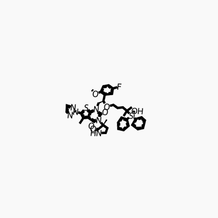 COc1ccc(F)cc1[C@H](Cn1c(=O)n([C@]2(C)CCNC2=O)c(=O)c2c(C)c(-n3nccn3)sc21)OCCCC(C)(C)[Si](O)(c1ccccc1)c1ccccc1